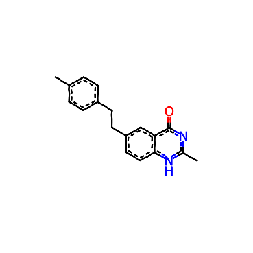 Cc1ccc(CCc2ccc3[nH]c(C)nc(=O)c3c2)cc1